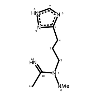 CNN(CCCc1nc[nH]n1)C(C)=N